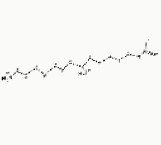 C=C(C)CCCCCCCCCCCCCCN.Cl